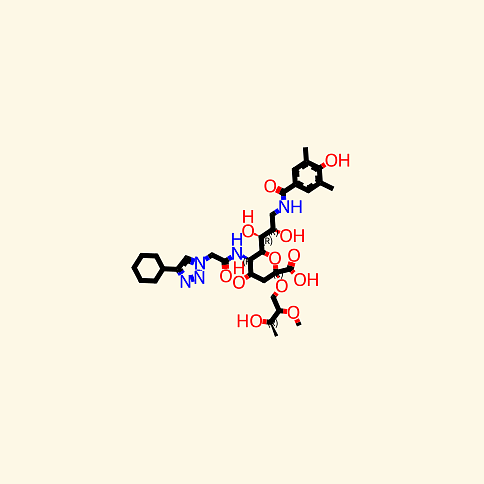 COC(CO[C@]1(C(=O)O)CC(O)[C@@H](NC(=O)Cn2cc(C3CCCCC3)nn2)C([C@H](O)[C@H](O)CNC(=O)c2cc(C)c(O)c(C)c2)O1)[C@@H](C)O